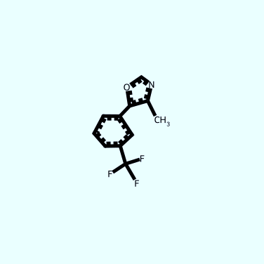 Cc1ncoc1-c1cccc(C(F)(F)F)c1